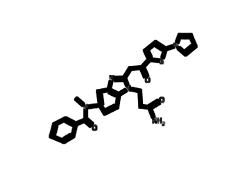 CN(C(=O)c1ccccc1)c1ccc2c(c1)nc(CC(=O)c1ccc(-n3cccc3)s1)n2CCC(N)=O